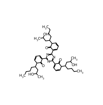 CCCCC(CC(C)O)C1C=CC=C(c2nc(C3=CC=CC(C(CCCC)CC(C)O)C3=O)nc(C3=CC=CC(C(CCCC)CC(C)O)C3=O)n2)C1=O